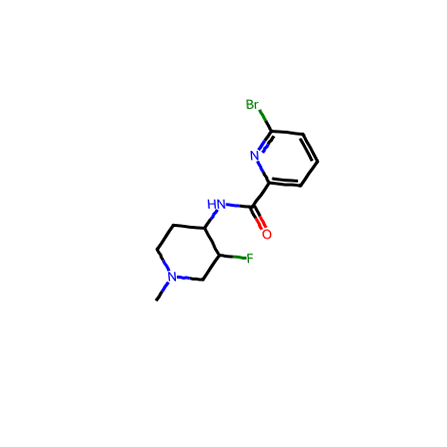 CN1CCC(NC(=O)c2cccc(Br)n2)C(F)C1